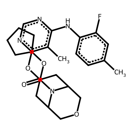 Cc1ccc(Nc2ncnc(OC3CC4COCC(C3)N4C(=O)OC3CCCC3)c2C)c(F)c1